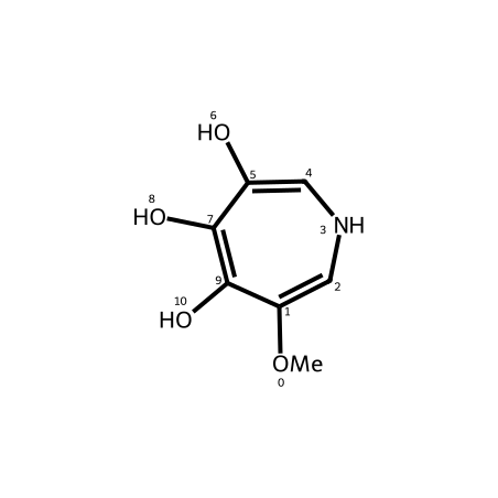 COC1=CNC=C(O)C(O)=C1O